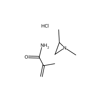 C=C(C)C(N)=O.CC1CN1C.Cl